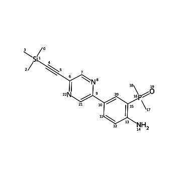 C[Si](C)(C)C#Cc1cnc(-c2ccc(N)c(P(C)(C)=O)c2)cn1